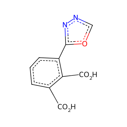 O=C(O)c1cccc(-c2nnco2)c1C(=O)O